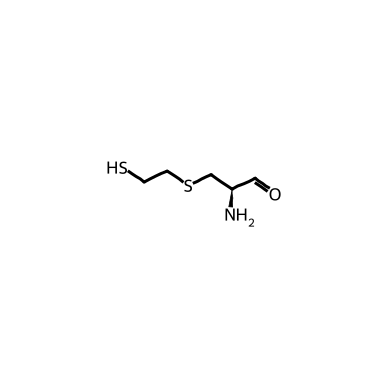 N[C@H](C=O)CSCCS